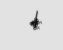 CCCCCCCCCCOC(=O)OC1=C(C)NC(C)=C(OC(=O)OCCO)C1c1cccc([N+](=O)[O-])c1